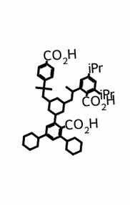 CC(C)c1cc(C(C)C)c(C(=O)O)c(C(C)CC2CC(CC(C)(C)c3ccc(C(=O)O)cc3)CC(c3cc(C4CCCCC4)cc(C4CCCCC4)c3C(=O)O)C2)c1